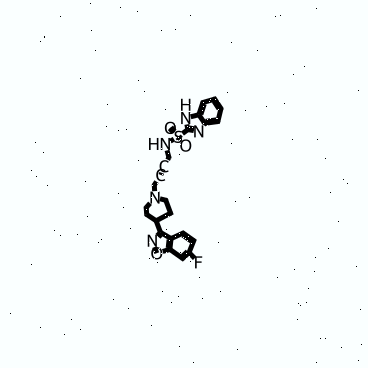 O=S(=O)(NCCCCN1CCC(c2noc3cc(F)ccc23)CC1)c1nc2ccccc2[nH]1